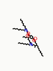 CCCCCCCCCC(CCCOC(=O)C1CCC(C(=O)OCCN(CCCCCCCCC)CCCCCCCCC)CC1)C(C)CCN(CCCCCCCCC)CCCCCCCCC